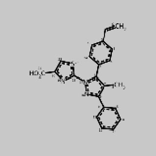 C=Cc1ccc(-c2c(C)c(-c3ccccc3)nn2-c2nc(C(=O)O)cs2)cc1